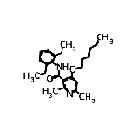 CCCCCCOc1cc(C)nc(C)c1C(=O)Nc1c(CC)cccc1CC